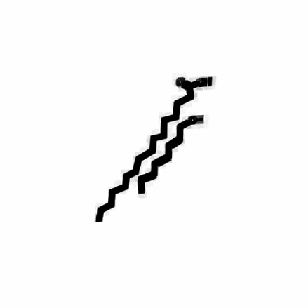 CC=CC=CC=CCO.CCCCCCCCCCCCCCCC(=O)O